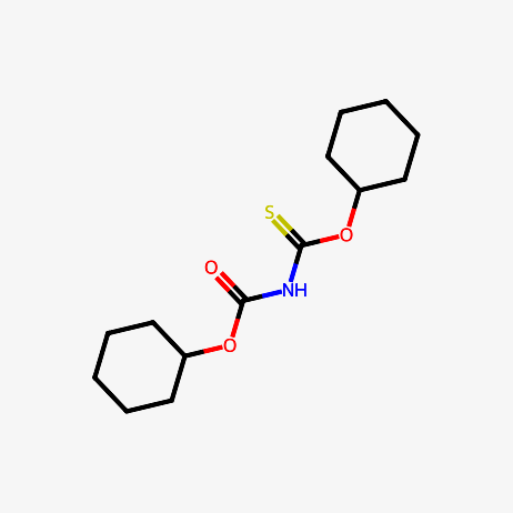 O=C(NC(=S)OC1CCCCC1)OC1CCCCC1